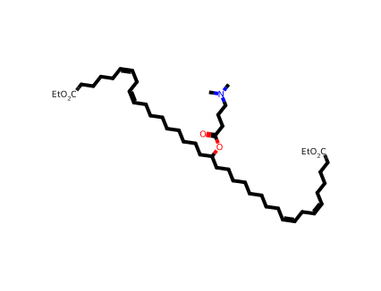 CCOC(=O)CCCC/C=C\C/C=C\CCCCCCCCC(CCCCCCCC/C=C\C/C=C\CCCCC(=O)OCC)OC(=O)CCCN(C)C